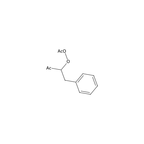 CC(=O)OOC(Cc1ccccc1)C(C)=O